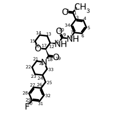 CC(=O)c1cccc(NC(=O)N[C@@H]2CCCO[C@@H]2C(=O)N2CCCC(Cc3ccc(F)cc3)C2)c1